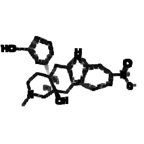 CN1CC[C@@]2(c3cccc(O)c3)Cc3[nH]c4cc([N+](=O)[O-])ccc4c3C[C@]2(O)C1